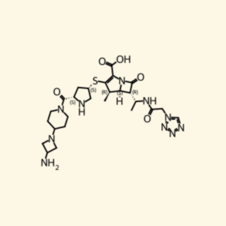 CC(NC(=O)Cn1cnnn1)[C@H]1C(=O)N2C(C(=O)O)=C(S[C@@H]3CN[C@H](C(=O)N4CCC(N5CC(N)C5)CC4)C3)[C@H](C)[C@H]12